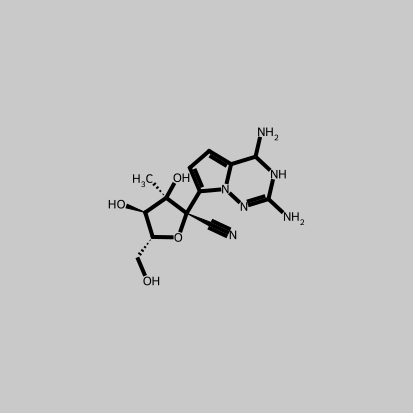 C[C@@]1(O)[C@H](O)[C@@H](CO)O[C@@]1(C#N)c1ccc2n1N=C(N)NC2N